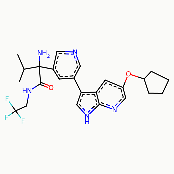 CC(C)C(N)(C(=O)NCC(F)(F)F)c1cncc(-c2c[nH]c3ncc(OC4CCCC4)cc23)c1